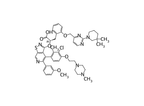 COc1cccc(-c2ncc3snc(O[C@H](Cc4ccccc4OCc4ccnc(N5CCCC(C)(C)C5)n4)C(=O)O)c3c2-c2ccc(OCCN3CCN(C)CC3)c(Cl)c2C)c1